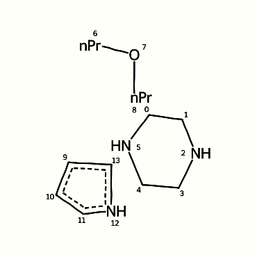 C1CNCCN1.CCCOCCC.c1cc[nH]c1